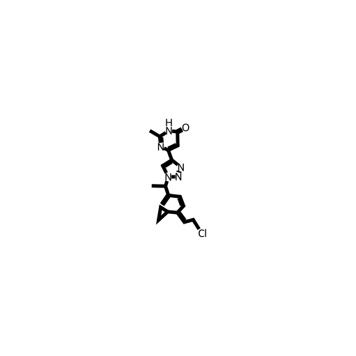 C=C(/C=C\C(=C/CCl)C1CC1)C(C)n1cc(-c2cc(=O)[nH]c(C)n2)nn1